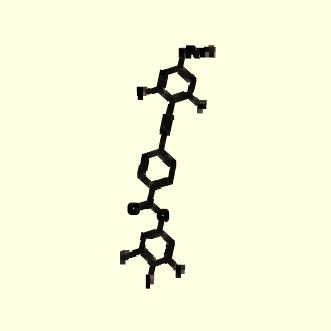 CCCCCc1cc(F)c(C#Cc2ccc(C(=O)Oc3cc(F)c(F)c(F)c3)cc2)c(F)c1